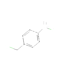 ClCc1ccc([SiH2]Cl)cc1